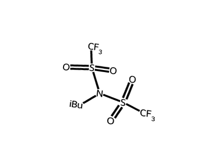 CCC(C)N(S(=O)(=O)C(F)(F)F)S(=O)(=O)C(F)(F)F